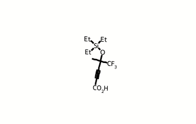 CC[Si](CC)(CC)OC(C)(C#CC(=O)O)C(F)(F)F